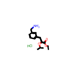 CCOC(=O)C(Cc1cccc(CN)c1)OC(C)C.Cl